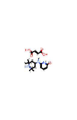 CN(c1cccc(Br)n1)C1CC(C)(C)NC(C)(C)C1.O=C(O)/C=C/C(=O)O